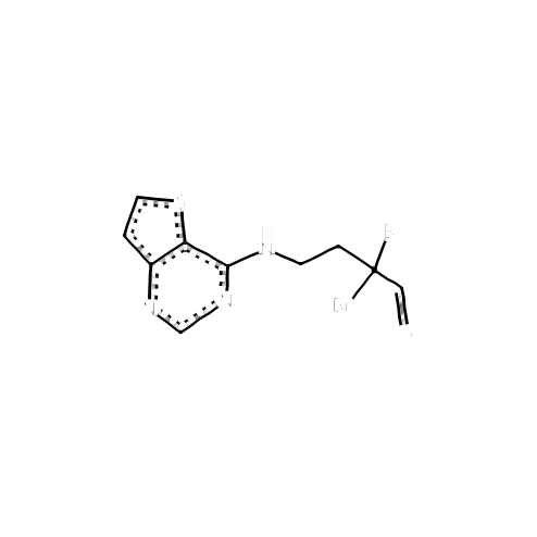 O=CC(Br)(Br)CCNc1ncnc2ccsc12